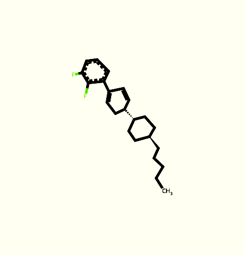 CCCCC[C@H]1CC[C@H](C2C=CC(c3cccc(F)c3F)=CC2)CC1